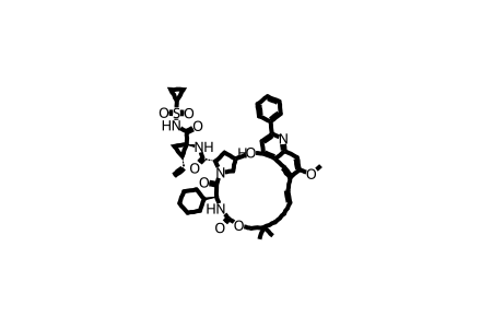 C=C[C@@H]1C[C@]1(NC(=O)[C@@H]1C[C@@H]2CN1C(=O)[C@H](C1CCCCC1)NC(=O)OCC(C)(C)CC/C=C/c1cc3c(cc(-c4ccccc4)nc3cc1OC)O2)C(=O)NS(=O)(=O)C1CC1